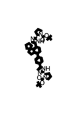 CC(C)(C)OC(=O)N1CCC[C@H]1c1ncc(-c2ccc(-c3ccc(-c4cnc([C@@H]5CCCN5C(=O)OC(C)(C)C)[nH]4)c4c3CCC43CCCC3)cc2)[nH]1